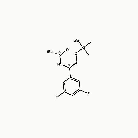 CC(C)(C)[S@+]([O-])N[C@@H](CO[Si](C)(C)C(C)(C)C)c1cc(F)cc(F)c1